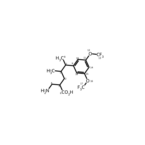 CC(CC(CN)C(=O)O)C(C)c1cc(OC(F)(F)F)cc(OC(F)(F)F)c1